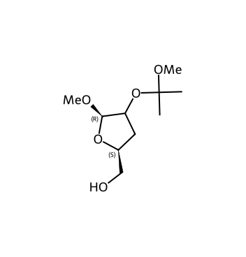 CO[C@@H]1O[C@H](CO)CC1OC(C)(C)OC